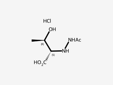 CC(=O)NN[C@H](C(=O)O)[C@@H](C)O.Cl